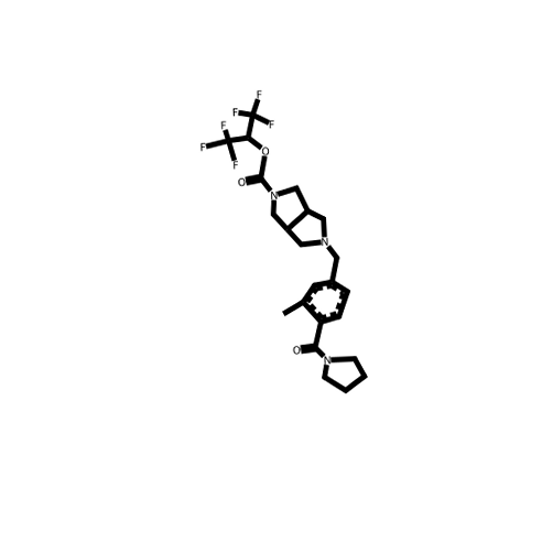 Cc1cc(CN2CC3CN(C(=O)OC(C(F)(F)F)C(F)(F)F)CC3C2)ccc1C(=O)N1CCCC1